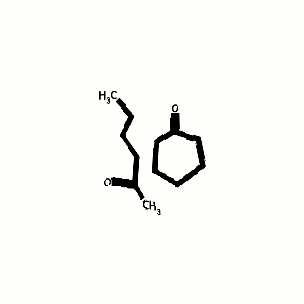 CCCCC(C)=O.O=C1CCCCC1